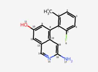 Cc1cccc(F)c1-c1cc(O)cc2cnc(N)cc12